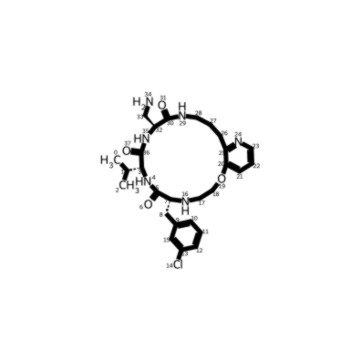 CC(C)[C@H]1NC(=O)[C@@H](Cc2cccc(Cl)c2)NCCOc2cccnc2CCCNC(=O)[C@H](CN)NC1=O